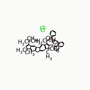 CC(C)(C)C1=CC(C)(C)c2cc3c(cc21)-c1cc2c(cc1C3)C(C)(C)[C]([Zr+2]([C]1=CC=CC1)=[C](Cc1ccccc1)Cc1ccccc1)=C2C(C)(C)C.[Cl-].[Cl-]